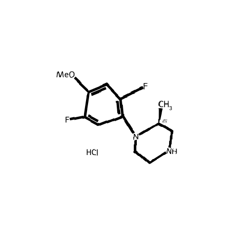 COc1cc(F)c(N2CCNC[C@@H]2C)cc1F.Cl